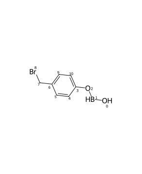 OBOc1ccc(CBr)cc1